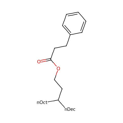 CCCCCCCCCCC(CCCCCCCC)CCOC(=O)CCc1ccccc1